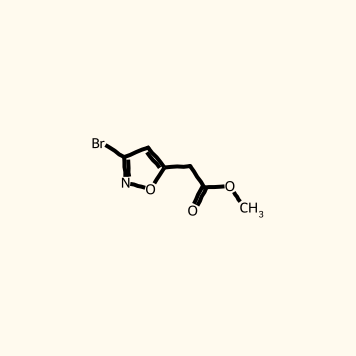 COC(=O)Cc1cc(Br)no1